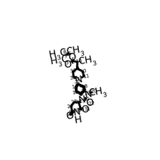 C[C@@H](C(=O)OC(C)(C)C)C1CCN(c2ccc3c(c2)n(C)c(=O)n3C2CCC(=O)NC2=O)CC1